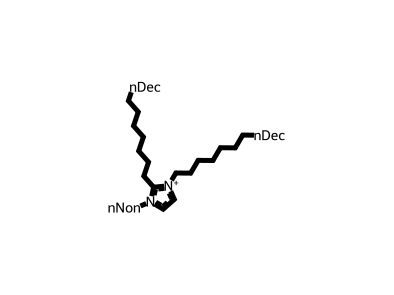 CCCCCCCCCCCCCCCCCc1n(CCCCCCCCC)cc[n+]1CCCCCCCCCCCCCCCCC